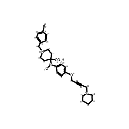 O=C(O)C1([S+]([O-])c2ccc(OCC#CCN3CCCCC3)cc2)CCN(Cc2ccc(Br)cc2)CC1